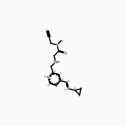 C#CCN(C)C(=O)CNCc1cc(C=NC2CC2)ccn1